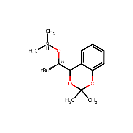 C[SiH](C)O[C@@H](C1OC(C)(C)Oc2ccccc21)C(C)(C)C